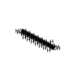 CN1C(O)N[C@H]2NC(C3N[C@H]4NC(C5N[C@H]6NC(C7N[C@H]8NC(C9N[C@H]%10NC(C%11N[C@H]%12NC(C%13N[C@H]%14NC(C%15N[C@H]%16NC(O)N(C)[C@H]%16N%15C)N(C)[C@H]%14N%13C)N(C)[C@H]%12N%11C)N(C)[C@H]%10N9C)N(C)[C@H]8N7C)N(C)[C@H]6N5C)N(C)[C@H]4N3C)N(C)[C@H]21